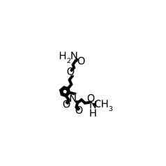 CNC(=O)CCC(C=O)N1Cc2c(CCCOCCC(N)=O)cccc2C1=O